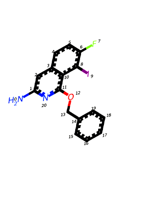 Nc1cc2ccc(F)c(I)c2c(OCc2ccccc2)n1